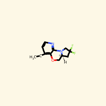 CCc1ccnc2c1OC[C@@H]1CC(F)(F)CN21